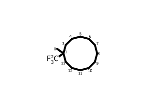 CC1(C(F)(F)F)CCCCCCCCCCC1